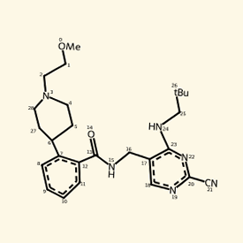 COCCN1CCC(c2ccccc2C(=O)NCc2cnc(C#N)nc2NCC(C)(C)C)CC1